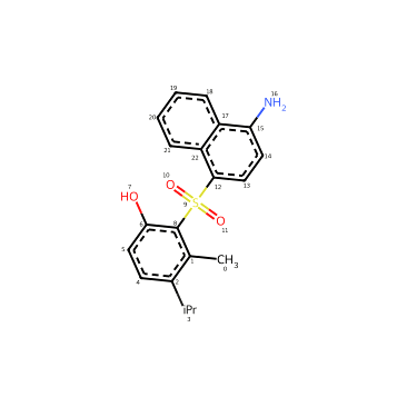 Cc1c(C(C)C)ccc(O)c1S(=O)(=O)c1ccc(N)c2ccccc12